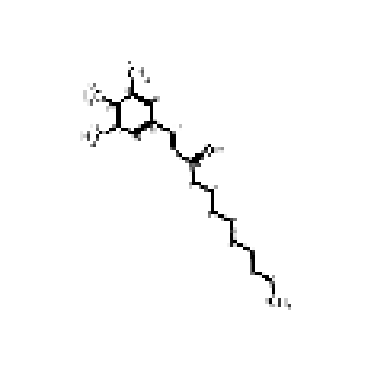 CCCCCCCCCC(=O)OCc1cc(C)c(C)c(C)c1